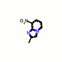 Cc1cn2cccc([N+](=O)[O-])c2n1